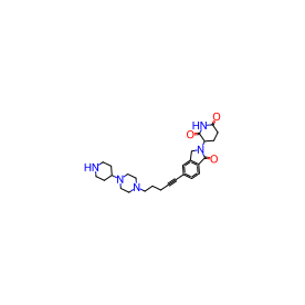 O=C1CCC(N2Cc3cc(C#CCCCN4CCN(C5CCNCC5)CC4)ccc3C2=O)C(=O)N1